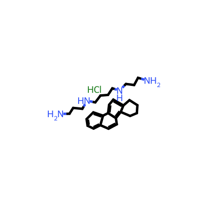 Cl.NCCCNCCCCNCCCN.c1ccc2c(c1)ccc1c3c(ccc12)CCCC3